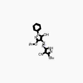 [C-]#[N+]c1c(C(C)(C)C)n[nH]c1/N=N/c1c(OC(C)C)nn(-c2ccccc2)c1O